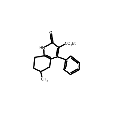 CCOC(=O)c1c(-c2ccccc2)c2c([nH]c1=O)CCC(C)C2